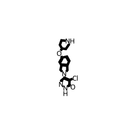 O=c1[nH]ncc(N2Cc3ccc(OC4CCNCC4)cc3C2)c1Cl